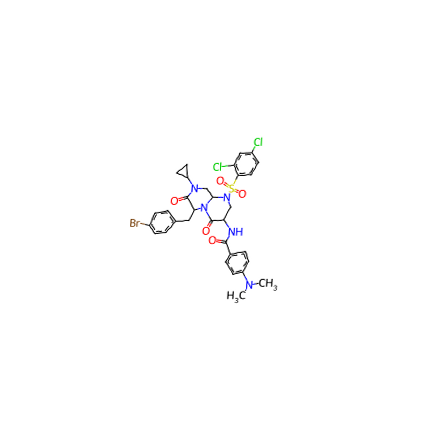 CN(C)c1ccc(C(=O)NC2CN(S(=O)(=O)c3ccc(Cl)cc3Cl)C3CN(C4CC4)C(=O)C(Cc4ccc(Br)cc4)N3C2=O)cc1